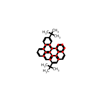 CC(C)(C)c1ccc(-c2ccccc2N(c2cc(C(C)(C)C)ccc2-c2ccccc2)c2ccccc2-c2cccc3cccc(-c4ccccc4)c23)cc1